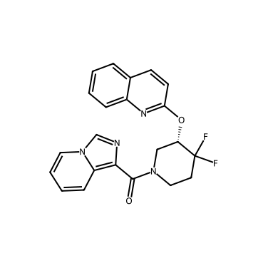 O=C(c1ncn2ccccc12)N1CCC(F)(F)[C@@H](Oc2ccc3ccccc3n2)C1